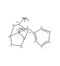 C[N+]1(Cc2ccccc2)C2CCC1CC(N)C2